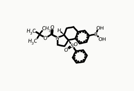 CC(C)(C)OC(=O)N1CC[C@@]2(S(=O)(=O)c3ccccc3)c3ccc(B(O)O)cc3CC[C@@H]12